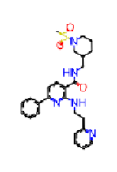 CS(=O)(=O)N1CCCC(CNC(=O)c2ccc(-c3ccccc3)nc2NCCc2ccccn2)C1